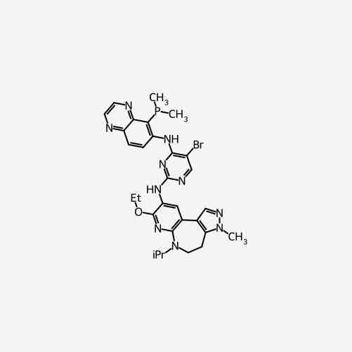 CCOc1nc2c(cc1Nc1ncc(Br)c(Nc3ccc4nccnc4c3P(C)C)n1)-c1cnn(C)c1CCN2C(C)C